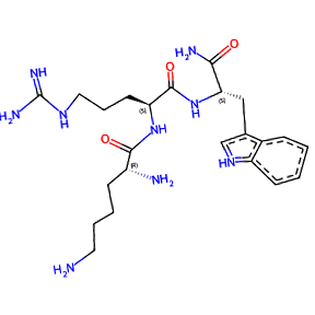 N=C(N)NCCC[C@H](NC(=O)[C@H](N)CCCCN)C(=O)N[C@@H](Cc1c[nH]c2ccccc12)C(N)=O